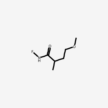 COCCC(C)C(=O)NF